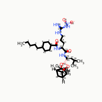 CCCCCC1CCC(C(=O)N[C@@H](CCCNC(=N)N[N+](=O)[O-])C(=O)N[C@@H](CC(C)C)B2O[C@@H]3C[C@@H]4C[C@@H](C4(C)C)[C@]3(C)O2)CC1